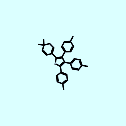 Cc1ccc(-c2sc(C3=CCC(C)(C)C=C3)c(-c3ccc(C)cc3)c2-c2ccc(C)cc2)cc1